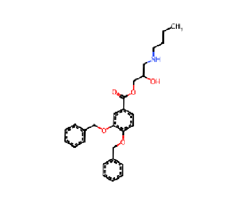 CCCCNCC(O)COC(=O)c1ccc(OCc2ccccc2)c(OCc2ccccc2)c1